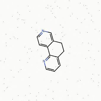 c1cnc2c(c1)CCc1cnccc1-2